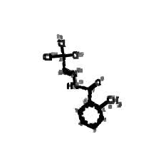 Cc1ccccc1C(=O)NN=CC(Cl)(Cl)Cl